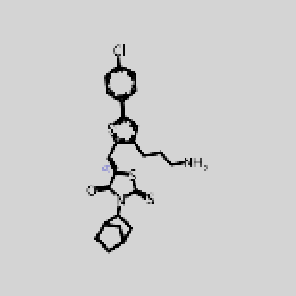 NCCCc1cc(-c2ccc(Cl)cc2)sc1/C=C1\SC(=S)N(C2CC3CCC2C3)C1=O